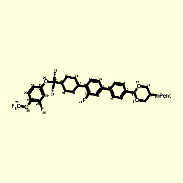 CCCCCC1COC(c2ccc(-c3ccc(C4CCC(C(F)(F)Oc5ccc(OC(F)(F)F)c(F)c5)CC4)c(F)c3)cc2)OC1